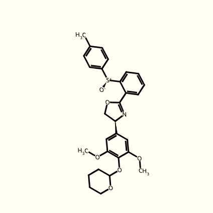 COc1cc([C@H]2COC(c3ccccc3[S@@+]([O-])c3ccc(C)cc3)=N2)cc(OC)c1OC1CCCCO1